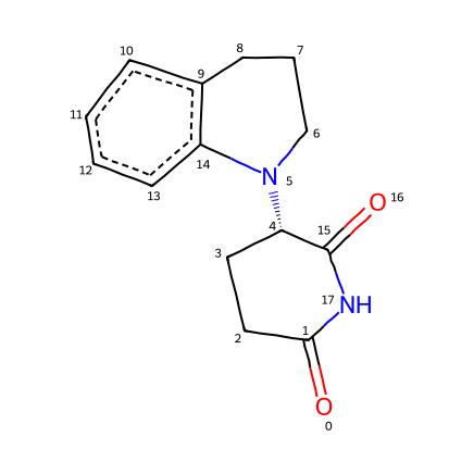 O=C1CC[C@H](N2CCCc3ccccc32)C(=O)N1